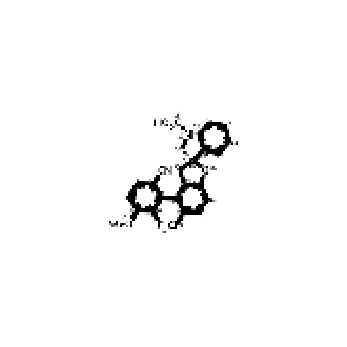 COc1ccc(C#N)c(-c2c(Cl)ccc3c2C[C@@](CNC(=O)O)(c2ccccc2)O3)c1F